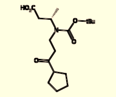 C[C@@H](CC(=O)O)N(CCC(=O)C1CCCC1)C(=O)OC(C)(C)C